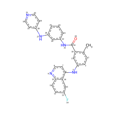 Cc1ccc(Nc2ccnc3ccc(F)cc23)cc1C(=O)Nc1cccc(Nc2ccncc2)c1